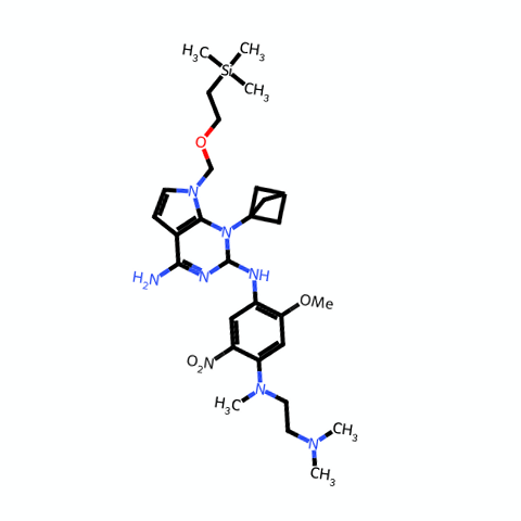 COc1cc(N(C)CCN(C)C)c([N+](=O)[O-])cc1NC1N=C(N)c2ccn(COCC[Si](C)(C)C)c2N1C12CC(C1)C2